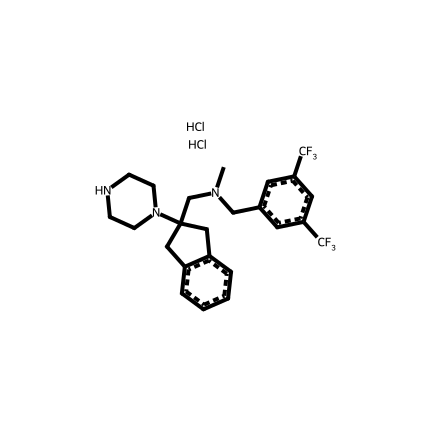 CN(Cc1cc(C(F)(F)F)cc(C(F)(F)F)c1)CC1(N2CCNCC2)Cc2ccccc2C1.Cl.Cl